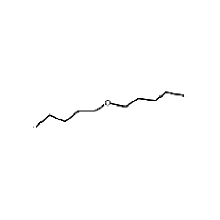 [CH2]CCCCOCCCC[CH2]